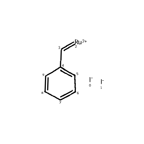 [I-].[I-].[Ru+2]=[CH]c1ccccc1